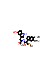 COC(=O)C(Cc1c[nH]c2ccc(O)cc12)NC(=O)C(CSC(C)=O)C1CCc2cc(OC)c(OC)cc21